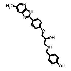 Cc1cnc2[nH]c(-c3ccc(OCC(O)CNCc4ccc(O)cc4)cc3)nc2c1